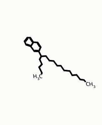 CCCCCCCCCCCCC(CCCCC)c1ccc2ccccc2c1